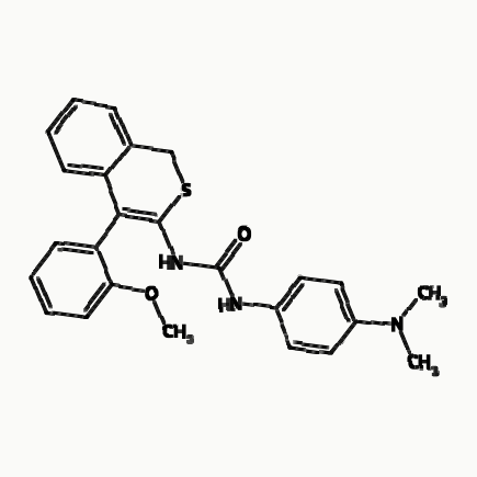 COc1ccccc1C1=C(NC(=O)Nc2ccc(N(C)C)cc2)SCc2ccccc21